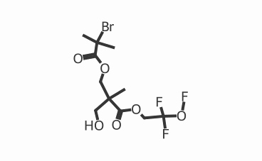 CC(C)(Br)C(=O)OCC(C)(CO)C(=O)OCC(F)(F)OF